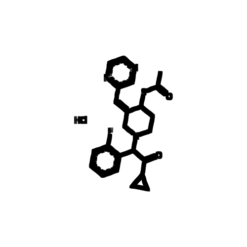 CC(=O)SC1CCN(C(C(=O)C2CC2)c2ccccc2F)CC1=Cc1cnccn1.Cl